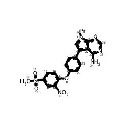 CC(C)n1cc(-c2ccc(Oc3ccc(S(C)(=O)=O)cc3[N+](=O)[O-])cc2)c2c(N)ncnc21